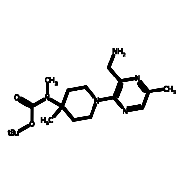 Cc1cnc(N2CCC(C)(N(C)C(=O)OC(C)(C)C)CC2)c(CN)n1